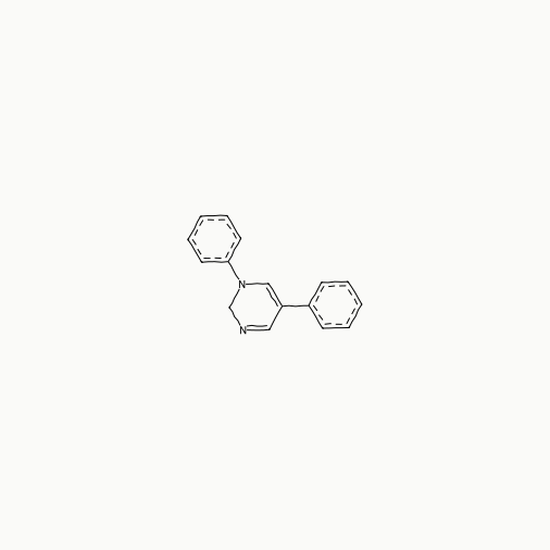 C1=NCN(c2ccccc2)C=C1c1ccccc1